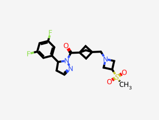 CS(=O)(=O)C1CN(CC23CC(C(=O)N4N=CCC4c4cc(F)cc(F)c4)(C2)C3)C1